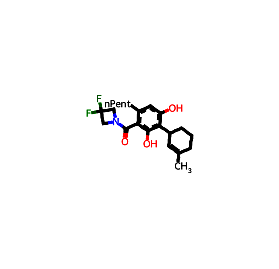 CCCCCc1cc(O)c(C2C=C(C)CCC2)c(O)c1C(=O)N1CC(F)(F)C1